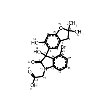 CC1(C)Cc2cc(C3(O)C(=O)N(CC(=O)O)c4cccc(Br)c43)c(O)cc2O1